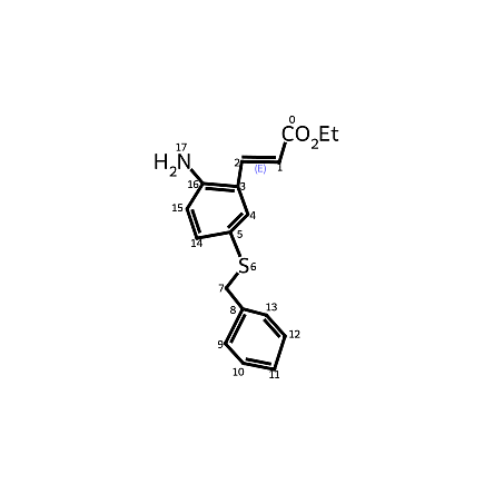 CCOC(=O)/C=C/c1cc(SCc2ccccc2)ccc1N